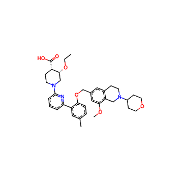 CCO[C@@H]1CN(c2cccc(-c3cc(C)ccc3OCc3cc4c(c(OC)c3)CN(C3CCOCC3)CC4)n2)CC[C@@H]1C(=O)O